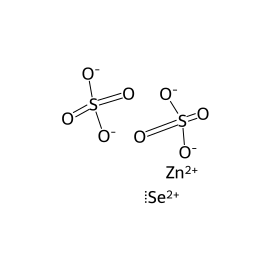 O=S(=O)([O-])[O-].O=S(=O)([O-])[O-].[Se+2].[Zn+2]